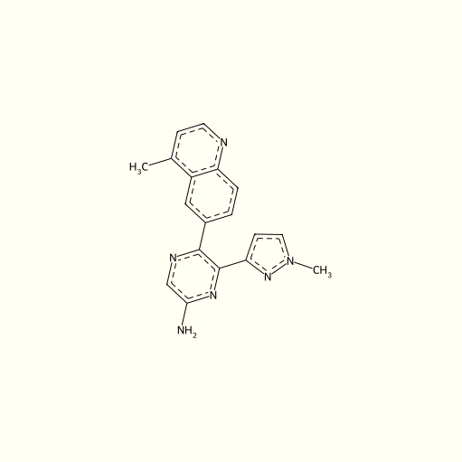 Cc1ccnc2ccc(-c3ncc(N)nc3-c3ccn(C)n3)cc12